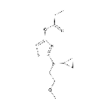 CCC(=O)Oc1csc(N(CCOC)C2CC2)n1